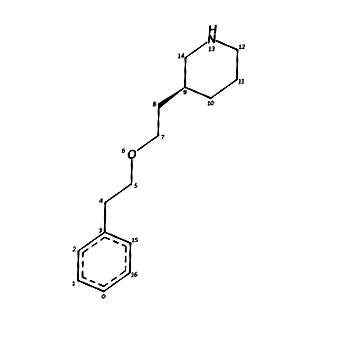 c1ccc(CCOCC[C@@H]2CCCNC2)cc1